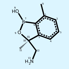 Cc1cccc2c1B(O)O[C@]2(C)CN